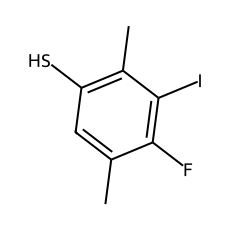 Cc1cc(S)c(C)c(I)c1F